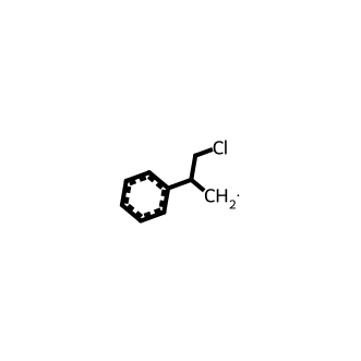 [CH2]C(CCl)c1ccccc1